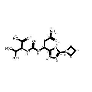 CC(O)[C@H](NC(=O)N[C@@H](CC(N)=O)c1nnc(N2CCC2)o1)C(=O)O